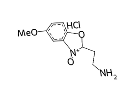 COc1ccc2c(c1)[N+](=O)C(CCN)O2.Cl